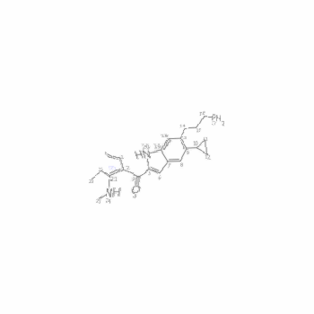 C=C/C(C(=O)c1cc2cc(C3CC3)c(CCCP)cc2[nH]1)=C(\CC)NC